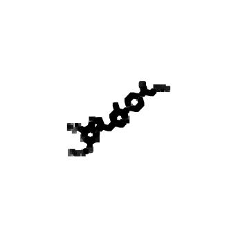 CCCC(C)Oc1nc(N)c2ncc(Cc3cnc(N4CCN(C(=O)CNC)CC4)c(C)c3)n2n1